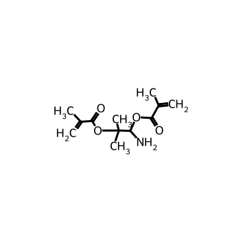 C=C(C)C(=O)OC(N)C(C)(C)OC(=O)C(=C)C